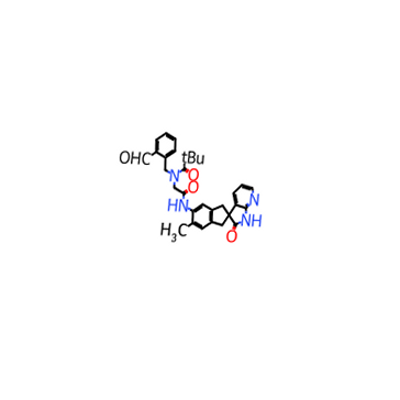 Cc1cc2c(cc1NC(=O)CN(Cc1ccccc1C=O)C(=O)C(C)(C)C)CC1(C2)C(=O)Nc2ncccc21